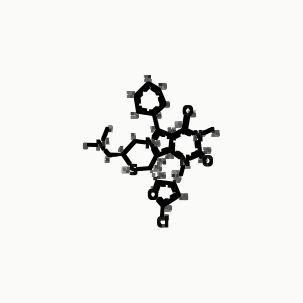 CN(C)C[C@H]1Cn2c(-c3ccccc3)c3c(=O)n(C)c(=O)n(C)c3c2[C@H](c2ccc(Cl)o2)S1